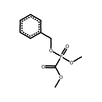 COC(=O)P(=O)(OC)OCc1ccccc1